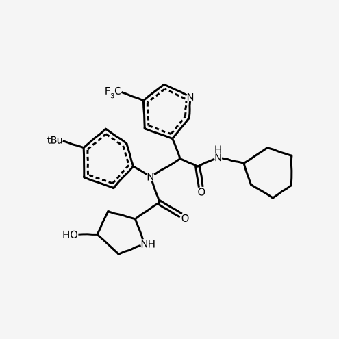 CC(C)(C)c1ccc(N(C(=O)C2CC(O)CN2)C(C(=O)NC2CCCCC2)c2cncc(C(F)(F)F)c2)cc1